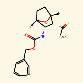 COC(=O)[C@@H]1[C@H](NC(=O)OCc2ccccc2)[C@@H]2CC[C@H]1O2